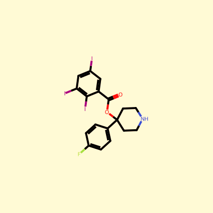 O=C(OC1(c2ccc(F)cc2)CCNCC1)c1cc(I)cc(I)c1I